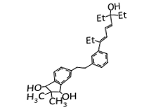 CC/C(=C\C=C\C(O)(CC)CC)c1cccc(CCc2ccc3c(c2)C(O)C(C)(C)C3O)c1